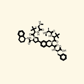 CN[C@@H](C)C(=O)NC(C(=O)N1Cc2cc(C3C[C@@H](C(=O)N[C@@H]4CCCc5ccccc54)N(C(=O)[C@@H](NC(=O)[C@H](C)NC)C(C)(C)C)C3)ccc2CC1C(=O)N[C@@H](Cc1ccccc1)C(=O)O)C(C)(C)C